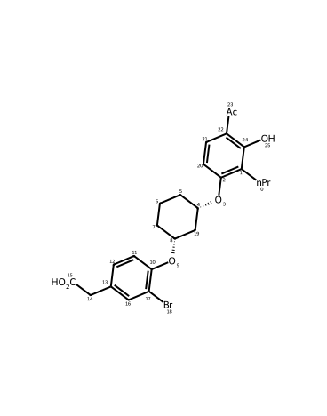 CCCc1c(O[C@H]2CCC[C@@H](Oc3ccc(CC(=O)O)cc3Br)C2)ccc(C(C)=O)c1O